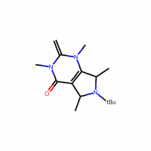 C=C1N(C)C(=O)C2=C(C(C)N(C(C)(C)C)C2C)N1C